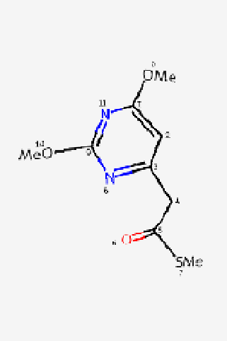 COc1cc(CC(=O)SC)nc(OC)n1